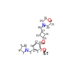 CCOc1cc(CN2CCCC2)ccc1OC1CC(CN2CCOCC2)C1